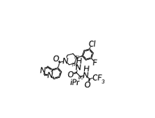 CC(C)[C@@H](NC(=O)C(F)(F)F)C(=O)N[C@@H]1CN(C(=O)c2cccn3cncc23)CC[C@H]1c1cc(F)cc(Cl)c1